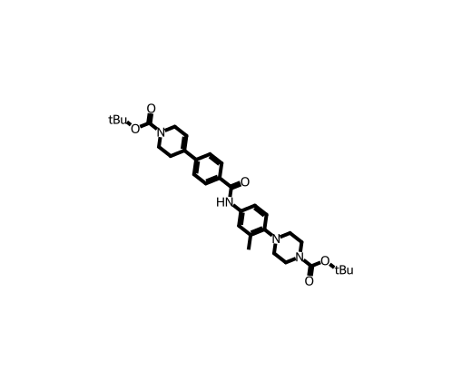 Cc1cc(NC(=O)c2ccc(C3=CCN(C(=O)OC(C)(C)C)CC3)cc2)ccc1N1CCN(C(=O)OC(C)(C)C)CC1